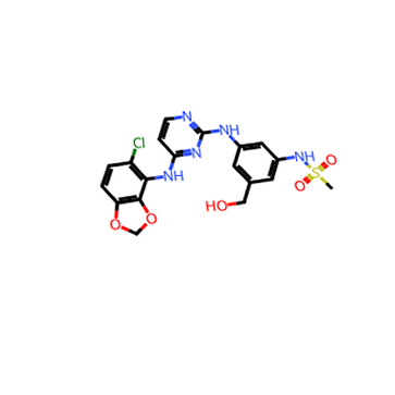 CS(=O)(=O)Nc1cc(CO)cc(Nc2nccc(Nc3c(Cl)ccc4c3OCO4)n2)c1